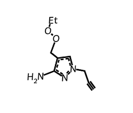 C#CCn1cc(COOCC)c(N)n1